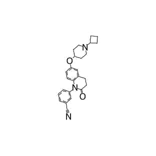 N#Cc1cccc(N2C(=O)CCc3cc(OC4CCN(C5CCC5)CC4)ccc32)c1